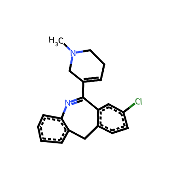 CN1CCC=C(C2=Nc3ccccc3Cc3ccc(Cl)cc32)C1